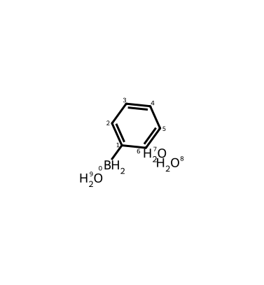 Bc1ccccc1.O.O.O